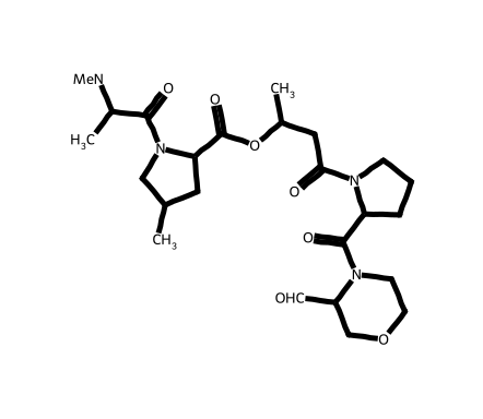 CNC(C)C(=O)N1CC(C)CC1C(=O)OC(C)CC(=O)N1CCCC1C(=O)N1CCOCC1C=O